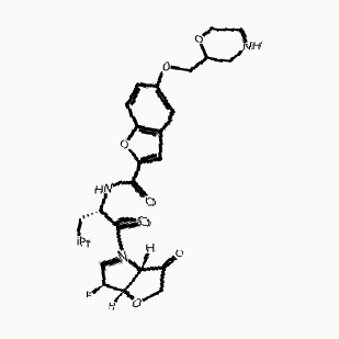 CC(C)C[C@H](NC(=O)c1cc2cc(OCC3CNCCO3)ccc2o1)C(=O)N1C[C@H](F)[C@H]2OCC(=O)[C@H]21